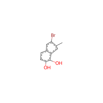 Cc1cc2c(O)c(O)ccc2cc1Br